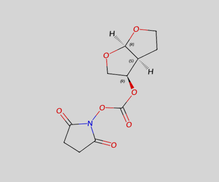 O=C(O[C@H]1CO[C@H]2OCC[C@H]21)ON1C(=O)CCC1=O